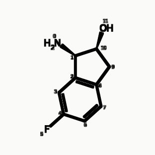 N[C@@H]1c2cc(F)ccc2C[C@@H]1O